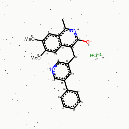 COc1cc2c(C)nc(O)c(Cc3cncc(-c4ccccc4)c3)c2cc1OC.Cl.Cl